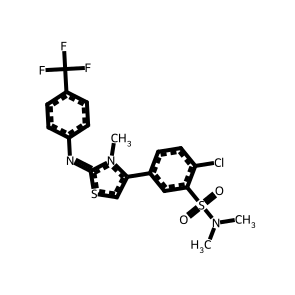 CN(C)S(=O)(=O)c1cc(-c2csc(=Nc3ccc(C(F)(F)F)cc3)n2C)ccc1Cl